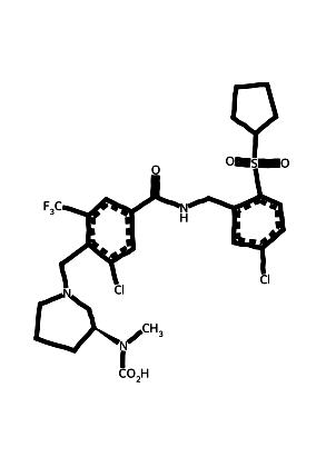 CN(C(=O)O)[C@H]1CCCN(Cc2c(Cl)cc(C(=O)NCc3cc(Cl)ccc3S(=O)(=O)C3CCCC3)cc2C(F)(F)F)C1